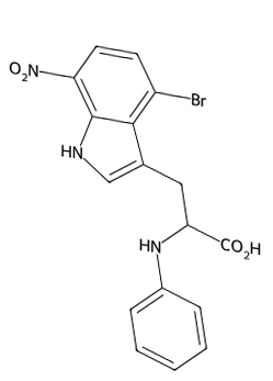 O=C(O)C(Cc1c[nH]c2c([N+](=O)[O-])ccc(Br)c12)Nc1ccccc1